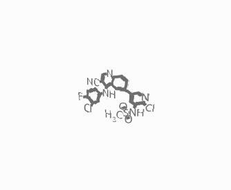 CS(=O)(=O)Nc1cc(-c2ccc3ncc(C#N)c(Nc4ccc(F)c(Cl)c4)c3c2)cnc1Cl